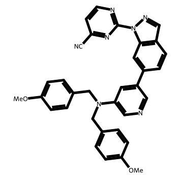 COc1ccc(CN(Cc2ccc(OC)cc2)c2cncc(-c3ccc4cnn(-c5nccc(C#N)n5)c4c3)c2)cc1